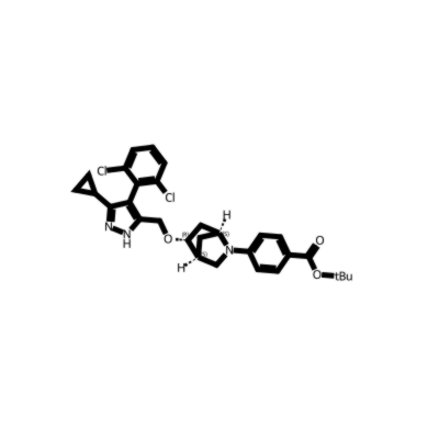 CC(C)(C)OC(=O)c1ccc(N2C[C@@H]3C[C@H]2C[C@H]3OCc2[nH]nc(C3CC3)c2-c2c(Cl)cccc2Cl)cc1